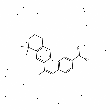 C/C(=C/c1ccc(C(=O)O)cc1)c1ccc2c(c1)C(C)(C)CCC2